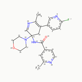 CC1=C(c2ccc(F)nc2)CC(NC(=O)c2ccnc(C(F)(F)F)c2)(N2CCOCC2)C=N1